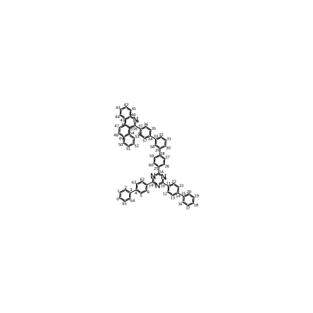 c1ccc(-c2ccc(-c3nc(-c4ccc(-c5ccccc5)cc4)nc(-c4ccc(-c5cccc(-c6ccc(-c7nc8ccccc8c8ccc9ccccc9c78)cc6)c5)cc4)n3)cc2)cc1